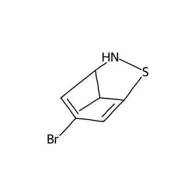 CC1C2=CC(Br)=CC1NS2